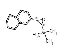 C[Si](C)(C)[C@H]1O[C@H]1c1ccc2ccccc2c1